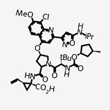 C=C[C@@H]1C[C@]1(NC(=O)C1C[C@@H](Oc2cc(-c3cc(NC(C)C)on3)nc3c(Cl)c(OC)ccc23)CN1C(=O)[C@@H](NC(=O)O[C@H]1CC[C@@H](C)C1)C(C)(C)C)C(=O)O